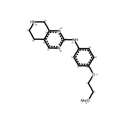 COCCOc1ccc(Nc2ncc3c(n2)CNCC3)cc1